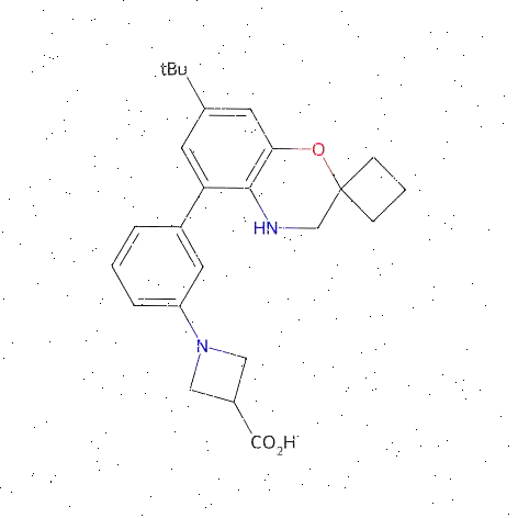 CC(C)(C)c1cc2c(c(-c3cccc(N4CC(C(=O)O)C4)c3)c1)NCC1(CCC1)O2